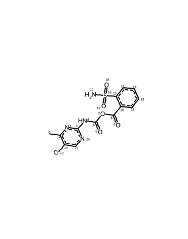 Cc1nc(NC(=O)OC(=O)c2ccccc2S(N)(=O)=O)ncc1Cl